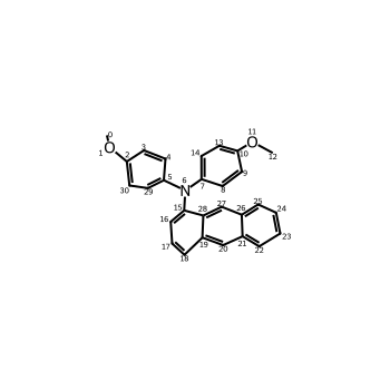 COc1ccc(N(c2ccc(OC)cc2)c2cccc3cc4ccccc4cc23)cc1